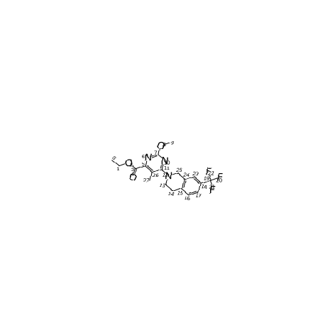 CCOC(=O)c1nc(OC)nc(N2CCc3ccc(C(F)(F)F)cc3C2)c1C